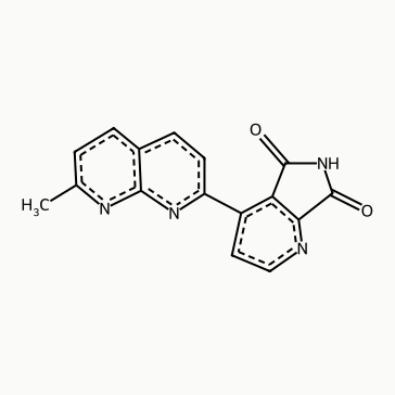 Cc1ccc2ccc(-c3ccnc4c3C(=O)NC4=O)nc2n1